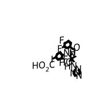 CC(=O)O.O=C(c1ccc(F)c(F)c1Nc1ccc(I)cc1F)N1CC(O)(CNc2ncncn2)C1